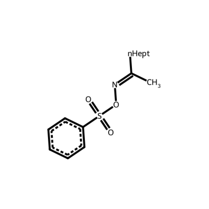 CCCCCCC/C(C)=N/OS(=O)(=O)c1ccccc1